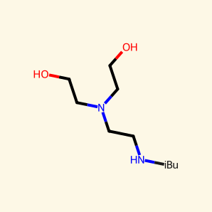 CCC(C)NCCN(CCO)CCO